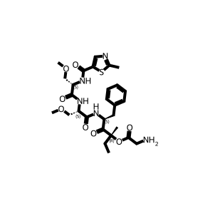 CC[C@@](C)(OC(=O)CN)C(=O)[C@H](Cc1ccccc1)NC(=O)[C@H](COC)NC(=O)[C@H](COC)NC(=O)c1cnc(C)s1